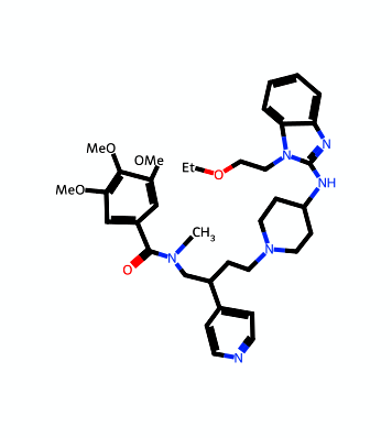 CCOCCn1c(NC2CCN(CCC(CN(C)C(=O)c3cc(OC)c(OC)c(OC)c3)c3ccncc3)CC2)nc2ccccc21